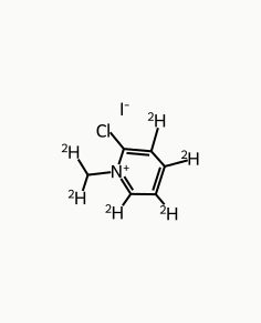 [2H]c1c([2H])c([2H])[n+](C([2H])[2H])c(Cl)c1[2H].[I-]